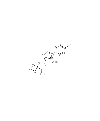 Cn1c(-c2ccc(Cl)cc2)cnc1SCC1(CO)CCC1